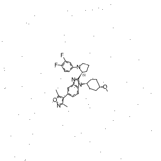 CO[C@H]1CC[C@@H](n2c([C@@H]3CCCN3c3ccc(F)c(F)c3)nc3cc(-c4c(C)noc4C)ccc32)CC1